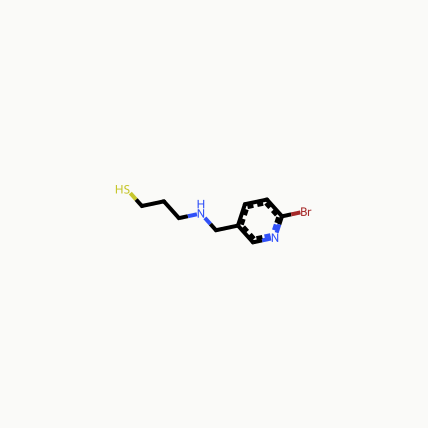 SCCCNCc1ccc(Br)nc1